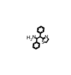 NC(c1ccccc1)C(C1=NCCS1)c1ccccc1